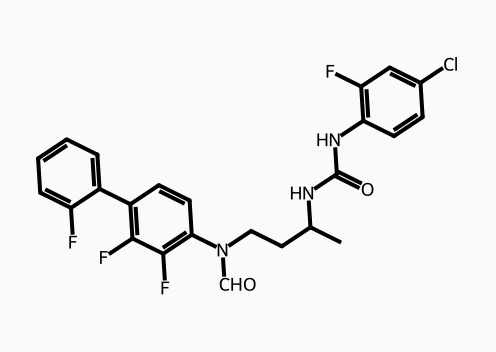 CC(CCN(C=O)c1ccc(-c2ccccc2F)c(F)c1F)NC(=O)Nc1ccc(Cl)cc1F